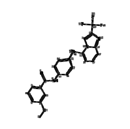 COc1cccc(C(=O)Nc2ccc(Nc3cccc4nc(C(F)(F)F)cn34)cc2)c1